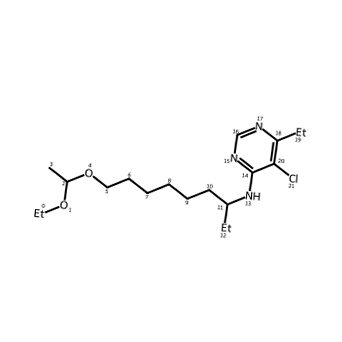 CCOC(C)OCCCCCCC(CC)Nc1ncnc(CC)c1Cl